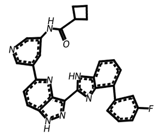 O=C(Nc1cncc(-c2ccc3[nH]nc(-c4nc5c(-c6cccc(F)c6)cccc5[nH]4)c3n2)c1)C1CCC1